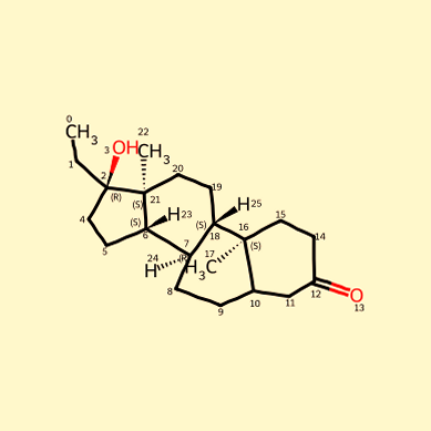 CC[C@@]1(O)CC[C@H]2[C@@H]3CCC4CC(=O)CC[C@]4(C)[C@H]3CC[C@@]21C